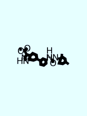 COC(=O)c1n[nH]c2cc(-c3cccc(NC(=O)Nc4ccc(C)cc4C)c3)ccc12